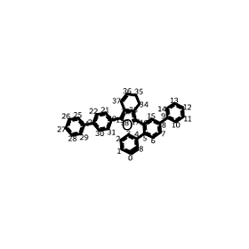 c1cccc(-c2ccc(-c3ccccc3)cc2-c2oc(-c3ccc(-c4ccccc4)cc3)c3c2CCC=C3)c#1